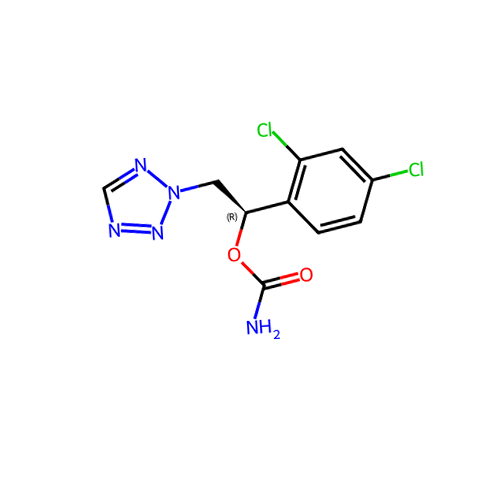 NC(=O)O[C@@H](Cn1ncnn1)c1ccc(Cl)cc1Cl